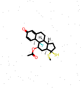 CS[C@@]1(S)CC[C@H]2[C@@H]3CCC4=CC(=O)C=C[C@]4(C)[C@@]3(F)[C@H](OC(C)=O)C[C@@]21C